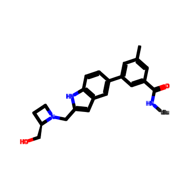 Cc1cc(C(=O)NC(C)(C)C)cc(-c2ccc3[nH]c(CN4CC[C@@H]4CO)cc3c2)c1